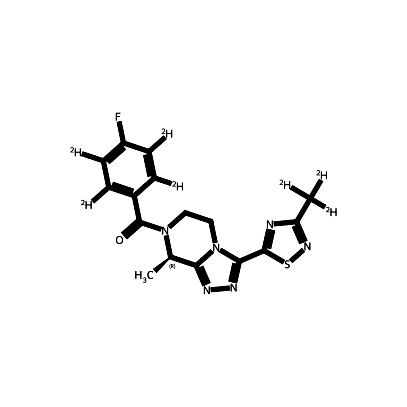 [2H]c1c([2H])c(C(=O)N2CCn3c(-c4nc(C([2H])([2H])[2H])ns4)nnc3[C@H]2C)c([2H])c([2H])c1F